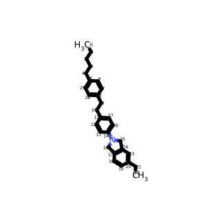 CCCCCc1ccc(CCc2ccc(N3Cc4ccc(CC)cc4C3)cc2)cc1